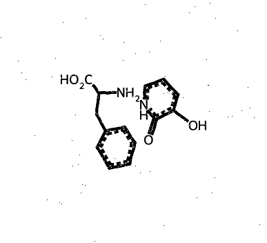 NC(Cc1ccccc1)C(=O)O.O=c1[nH]cccc1O